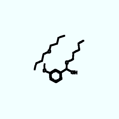 CCCCCOC(O)c1cccc(OC)c1.CCCCOCCCC